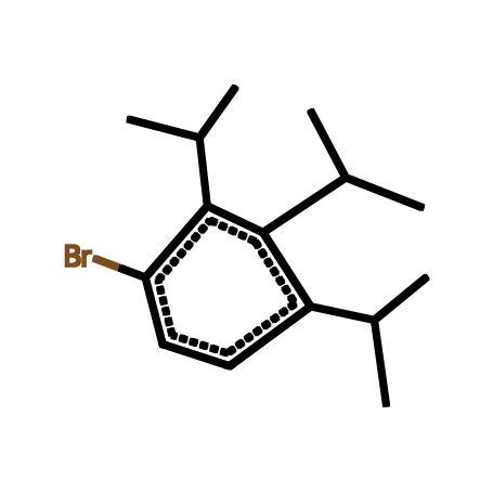 CC(C)c1ccc(Br)c(C(C)C)c1C(C)C